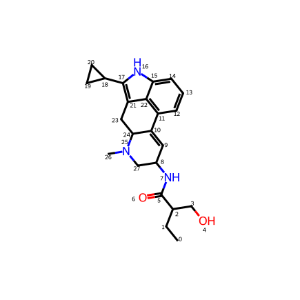 CCC(CO)C(=O)NC1C=C2c3cccc4[nH]c(C5CC5)c(c34)CC2N(C)C1